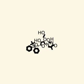 Cc1cn([C@@H]2O[C@H](CO[Si](c3ccccc3)(c3ccccc3)C(C)(C)C)[C@@H](O)[C@H]2OCCO)c(=O)[nH]c1=O